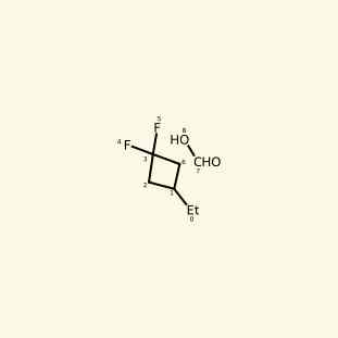 CCC1CC(F)(F)C1.O=CO